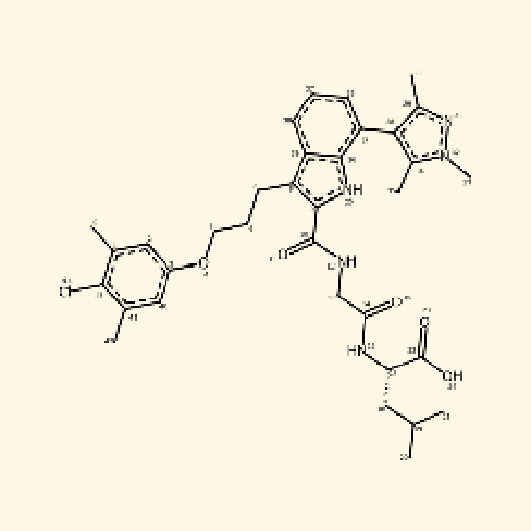 Cc1cc(OCCCc2c(C(=O)NCC(=O)N[C@@H](CC(C)C)C(=O)O)[nH]c3c(-c4c(C)nn(C)c4C)cccc23)cc(C)c1Cl